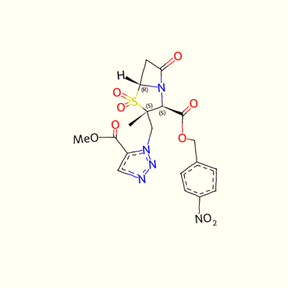 COC(=O)c1cnnn1C[C@@]1(C)[C@H](C(=O)OCc2ccc([N+](=O)[O-])cc2)N2C(=O)C[C@H]2S1(=O)=O